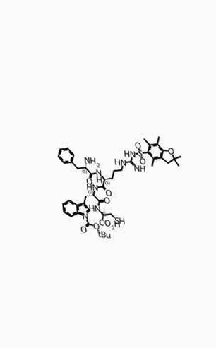 Cc1c(C)c(S(=O)(=O)NC(=N)NCCC[C@H](NC(=O)[C@@H](N)Cc2ccccc2)C(=O)N[C@@H](Cc2cn(C(=O)OC(C)(C)C)c3ccccc23)C(=O)N[C@@H](CS)C(=O)O)c(C)c2c1OC(C)(C)C2